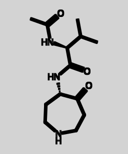 CC(=O)N[C@H](C(=O)N[C@H]1CCNCCC1=O)C(C)C